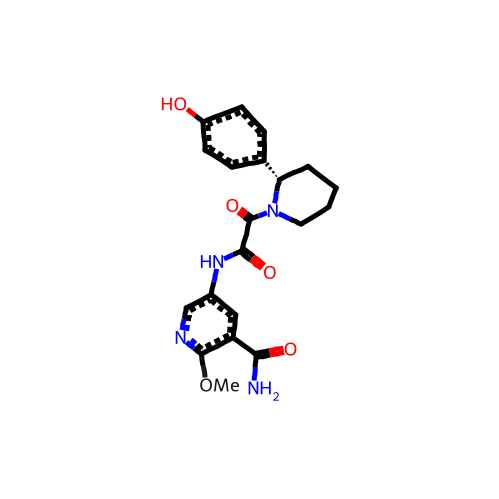 COc1ncc(NC(=O)C(=O)N2CCCC[C@H]2c2ccc(O)cc2)cc1C(N)=O